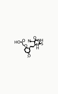 COc1ccc(OCC(=O)O)c(C=Cc2[nH]c(=S)[nH]c(=O)c2C#N)c1